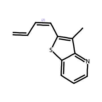 C=C/C=C\c1sc2cccnc2c1C